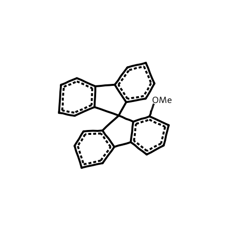 COc1cccc2c1C1(c3ccccc3-c3ccccc31)c1ccccc1-2